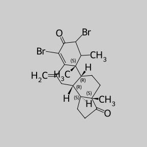 C=C1C[C@@H]2[C@@H](CC[C@]3(C)C(=O)CC[C@@H]23)[C@]2(C)C1=C(Br)C(=O)C(Br)C2C